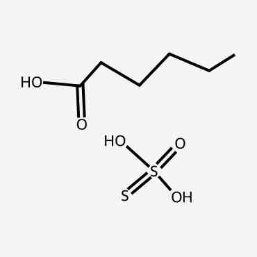 CCCCCC(=O)O.O=S(O)(O)=S